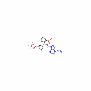 Cc1nn(C(C)c2oc(=O)c3ccccc3c2-c2cc(F)cc(C3OC(C)(C)C(C)(C)O3)c2)c2ncnc(N)c12